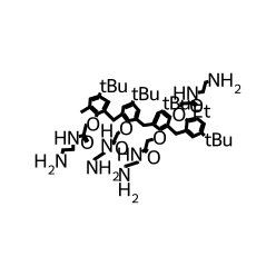 CCc1cc(C(C)(C)C)cc(Cc2cc(C(C)(C)C)cc(Cc3cc(C(C)(C)C)cc(Cc4cc(C(C)(C)C)cc(C)c4OCC(=O)NCCN)c3OCC(=O)NCCN)c2OCC(=O)NCCN)c1OCC(=O)NCCN